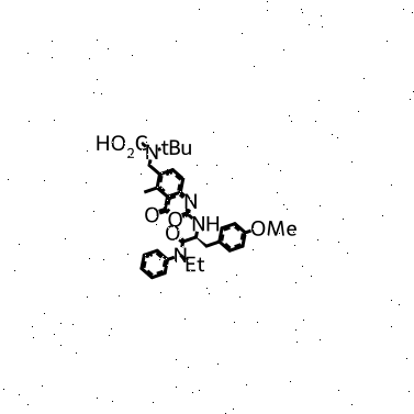 CCN(C(=O)[C@H](Cc1ccc(OC)cc1)Nc1nc2ccc(CN(C(=O)O)C(C)(C)C)c(C)c2c(=O)o1)c1ccccc1